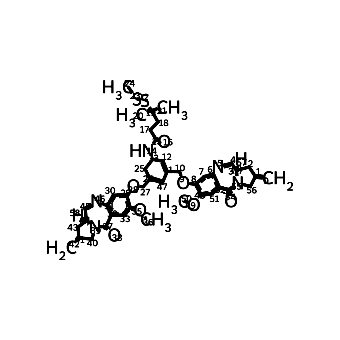 C=C1C[C@H]2C=Nc3cc(OCC4=CC(NC(=O)CCC(C)(C)SSC)CC(COc5cc6c(cc5OC)C(=O)N5CC(=C)C[C@H]5C=N6)=C4)c(OC)cc3C(=O)N2C1